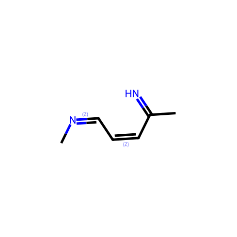 C/N=C\C=C/C(C)=N